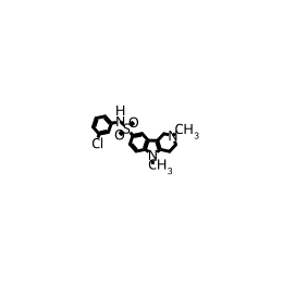 CN1CCc2c(c3cc(S(=O)(=O)Nc4cccc(Cl)c4)ccc3n2C)C1